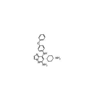 Nc1nn2ccnc2c(Nc2ccc(Oc3ccccc3)cc2)c1[C@H]1CC[C@@H](N)CC1